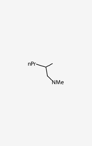 [CH2]NCC(C)CCC